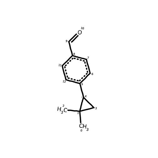 CC1(C)C[C]1c1ccc(C=O)cc1